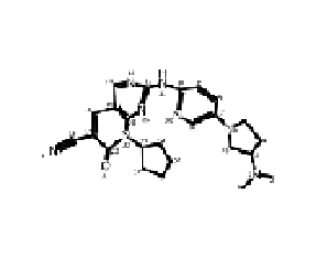 CN(C)C1CCN(c2ccc(Nc3ncc4cc(C#N)c(=O)n(C5CCCC5)c4n3)nc2)C1